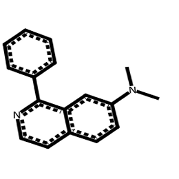 CN(C)c1ccc2ccnc(-c3ccccc3)c2c1